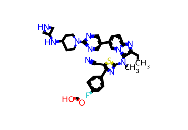 CCc1nc2ccc(-c3cnc(N4CCC(NC5CNC5)CC4)nc3)cn2c1N(C)c1nc(-c2ccc(F)cc2)c(C#N)s1.O=CO